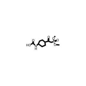 COP(=O)(CC(=O)C1CCC(NC(=O)O)CC1)OC